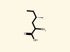 CC[C@H](C)CC(N)C(=O)O